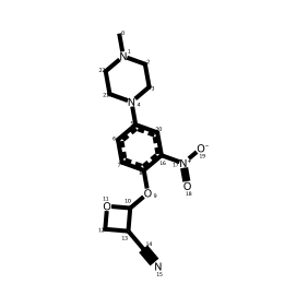 CN1CCN(c2ccc(OC3OCC3C#N)c([N+](=O)[O-])c2)CC1